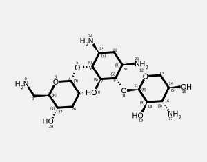 NC[C@H]1O[C@H](O[C@H]2[C@H](O)[C@@H](O[C@H]3OC[C@@H](O)[C@H](N)[C@H]3O)[C@H](N)C[C@@H]2N)CC[C@@H]1O